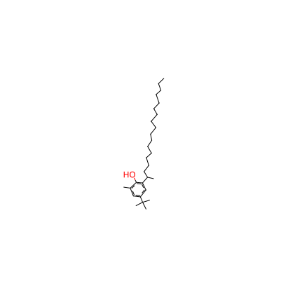 CCCCCCCCCCCCCCCCC(C)c1cc(C(C)(C)C)cc(C)c1O